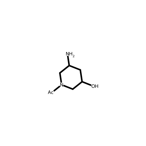 CC(=O)N1CC(N)CC(O)C1